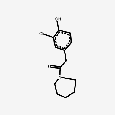 O=C(Cc1ccc(O)c(Cl)c1)N1CCCCC1